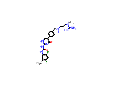 Cc1cc(NC(=O)Nc2nc(=O)c(-c3ccc(CNCCCN(C)C(=N)N)cc3)c[nH]2)c(F)cc1F